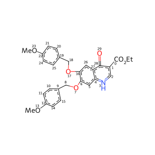 CCOC(=O)c1c[nH]c2cc(OCc3ccc(OC)cc3)c(OCc3ccc(OC)cc3)cc2c1=O